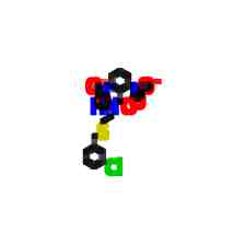 O=C(NCCSCc1cccc(Cl)c1)c1c([N+](=O)[O-])cccc1[N+](=O)[O-]